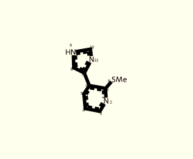 CSc1ncccc1-c1c[nH]cn1